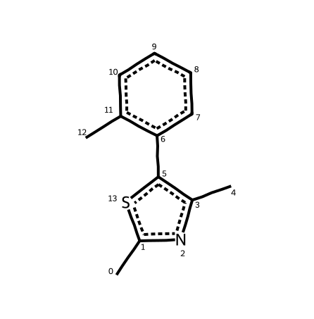 Cc1nc(C)c(-c2ccccc2C)s1